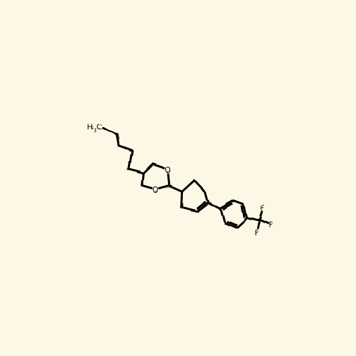 CCCCCC1COC(C2CC=C(c3ccc(C(F)(F)F)cc3)CC2)OC1